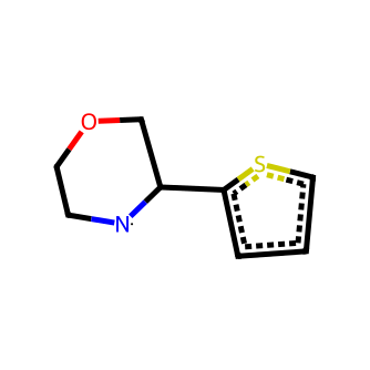 c1csc(C2COCC[N]2)c1